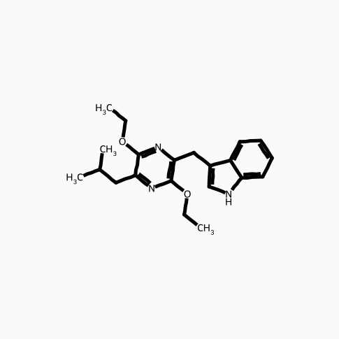 CCOc1nc(CC(C)C)c(OCC)nc1Cc1c[nH]c2ccccc12